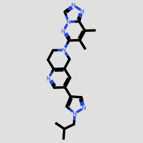 Cc1c(N2CCc3ncc(-c4cnn(CC(C)C)c4)cc3C2)nn2cnnc2c1C